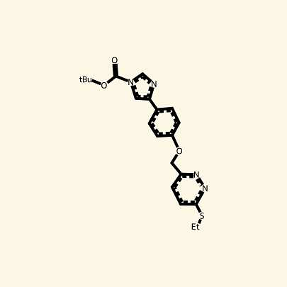 CCSc1ccc(COc2ccc(-c3cn(C(=O)OC(C)(C)C)cn3)cc2)nn1